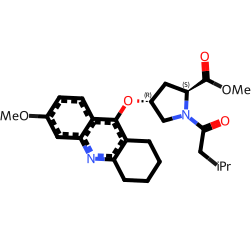 COC(=O)[C@@H]1C[C@@H](Oc2c3c(nc4cc(OC)ccc24)CCCC3)CN1C(=O)CC(C)C